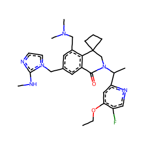 CCOc1cc(C(C)N2CC3(CCC3)c3c(CN(C)C)cc(Cn4ccnc4NC)cc3C2=O)ncc1F